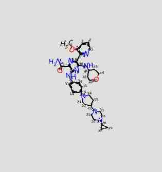 COc1cccnc1-c1nc(C(N)=O)c(Nc2ccc(N3CCC(N4CCN(C5CC5)CC4)CC3)cc2)nc1NC1CCOCC1